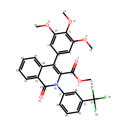 COC(=O)c1c(-c2cc(OC)c(OC)c(OC)c2)c2ccccc2c(=O)n1-c1cccc(C(F)(F)F)c1